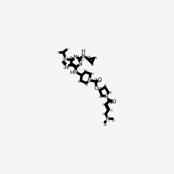 CC(C)n1cnc2c(NC3CCN(C(=O)O[C@H]4CCN(C(=O)/C=C/CN(C)C)C4)CC3)nc(NC3CC3)nc21